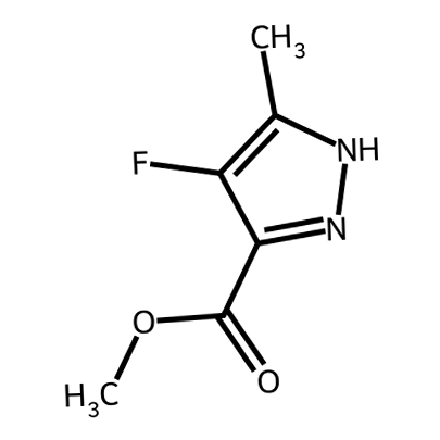 COC(=O)c1n[nH]c(C)c1F